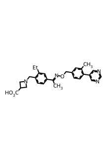 CCc1cc(C(C)=NOCc2ccc(-c3cncnc3)c(C)c2)ccc1CN1CC(C(=O)O)C1